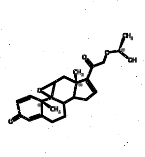 C[C@@H](O)OCC(=O)C1=CCC2C3CCC4=CC(=O)C=C[C@]4(C)C34OC4C[C@]12C